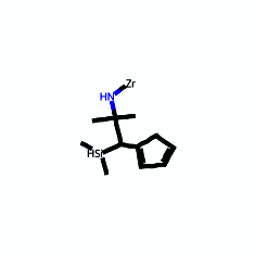 C[SiH](C)C(C1=CC=CC1)C(C)(C)[NH][Zr]